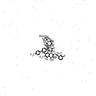 [2H]C1=C(SC([2H])([2H])c2cccc(F)c2F)N(C([2H])([2H])C(=O)N(C([2H])([2H])c2ccc(-c3ccc(C(F)(F)F)cc3)cc2)C2([2H])C([2H])([2H])C([2H])([2H])N(C([2H])([2H])C([2H])([2H])OC)C([2H])([2H])C2([2H])[2H])c2c([2H])c([2H])c(C)c([2H])c2C1O